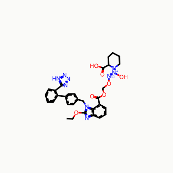 CCOc1nc2cccc(C(=O)OCO/N=[N+](\O)N3CCCCC3C(=O)O)c2n1Cc1ccc(-c2ccccc2-c2nnn[nH]2)cc1